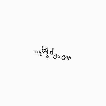 COCCn1c(Cc2cc(F)c(-c3cccc(OCc4ccc(-n5ccnn5)nc4)n3)cc2F)nc2c(F)cc(C(=O)O)cc21